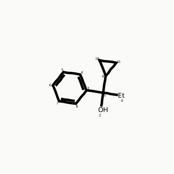 CCC(O)(c1ccccc1)C1CC1